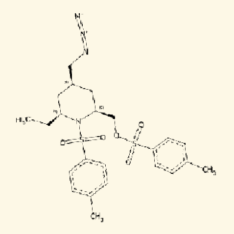 CC[C@H]1C[C@@H](CN=[N+]=[N-])C[C@@H](COS(=O)(=O)c2ccc(C)cc2)N1S(=O)(=O)c1ccc(C)cc1